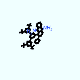 CC(C)(C)c1cc(-c2cc(-c3cc(C(C)(C)C)cc(C(C)(C)C)c3)cc(-c3c(-c4ccccc4)ccc4c(N)c5ccccc5c(N)c34)c2)cc(C(C)(C)C)c1